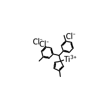 CC1=C[C]([Ti+3])(C(c2cccc(C)c2)c2cccc(C)c2)C=C1.[Cl-].[Cl-].[Cl-]